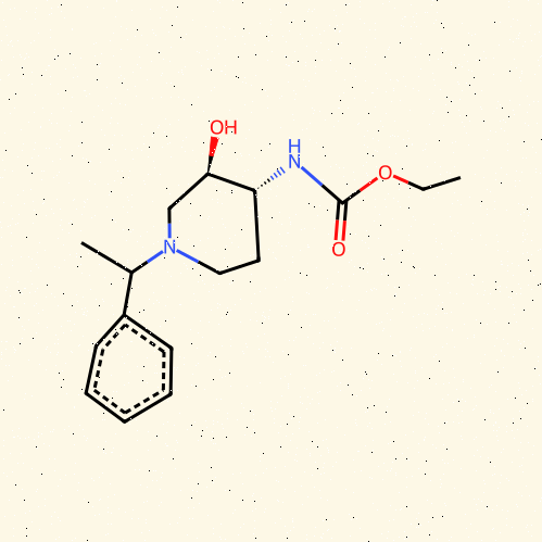 CCOC(=O)N[C@@H]1CCN(C(C)c2ccccc2)C[C@H]1O